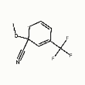 COC1(C#N)[CH]C=CC(C(F)(F)F)=C1